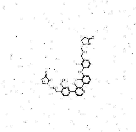 COc1nc(-c2ccnc(-c3cccc(Nc4cccc(CNC[C@@H]5CCC(=O)N5)c4F)c3Cl)c2Cl)ccc1CNC[C@@H]1CCC(=O)N1